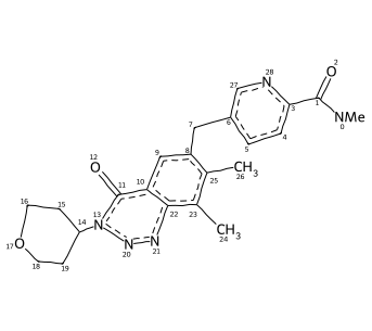 CNC(=O)c1ccc(Cc2cc3c(=O)n(C4CCOCC4)nnc3c(C)c2C)cn1